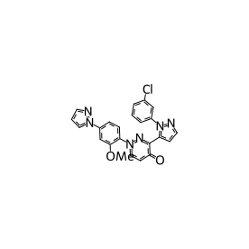 COc1cc(-n2cccn2)ccc1-n1ccc(=O)c(-c2ccnn2-c2cccc(Cl)c2)n1